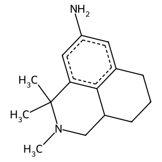 CN1CC2CCCc3cc(N)cc(c32)C1(C)C